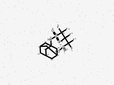 O=S(=O)(O)C(F)(F)C(F)(F)C(F)(F)S(=O)(=O)NC12CC3CC(CC(C3)C1)C2